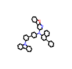 c1ccc(-c2ccc(N(c3ccc(-c4cccc(-n5c6ccccc6c6ccccc65)c4)cc3)c3cnc4oc5ccccc5c4c3)c3ccccc23)cc1